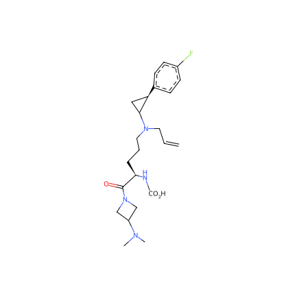 C=CCN(CCC[C@@H](NC(=O)O)C(=O)N1CC(N(C)C)C1)C1C[C@H]1c1ccc(F)cc1